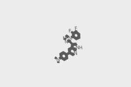 CN(C)c1ccc(-c2cnc3[nH]cc(-c4nncn4-c4cccc(F)c4F)c3c2)cc1